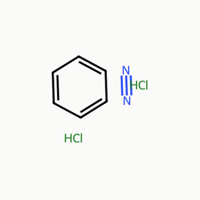 Cl.Cl.N#N.c1ccccc1